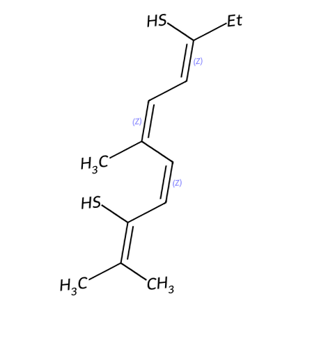 CC/C(S)=C/C=C(C)\C=C/C(S)=C(C)C